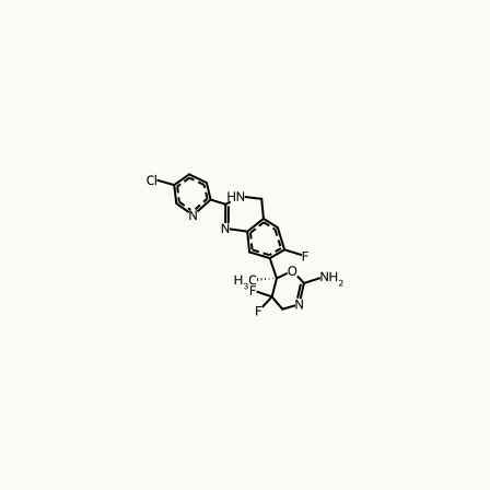 C[C@]1(c2cc3c(cc2F)CNC(c2ccc(Cl)cn2)=N3)OC(N)=NCC1(F)F